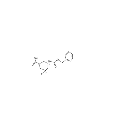 O=C(N[C@H]1CN(C(=O)O)CC(F)(F)C1)OCc1ccccc1